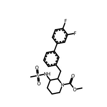 COC(=O)N1CCCC(NS(C)(=O)=O)C1Cc1cccc(-c2ccc(F)c(F)c2)c1